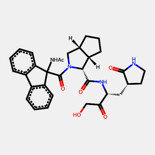 CC(=O)NC1(C(=O)N2C[C@@H]3CCC[C@@H]3[C@@H]2C(=O)N[C@H](C[C@H]2CCNC2=O)C(=O)CO)c2ccccc2-c2ccccc21